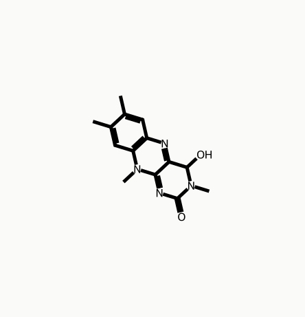 Cc1cc2c(cc1C)N(C)C1=NC(=O)N(C)C(O)C1=N2